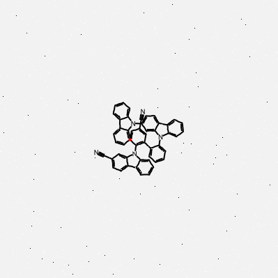 N#Cc1ccc(-n2c3ccccc3c3ccc(C#N)cc32)c(-c2ccccc2-n2c3ccccc3c3ccc(-n4c5ccccc5c5ccccc54)cc32)c1